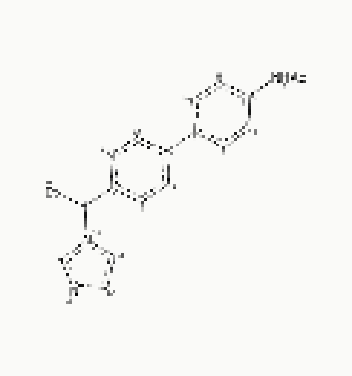 CCC(c1ccc(-c2ccc(NC(C)=O)cc2)cn1)n1ccnc1